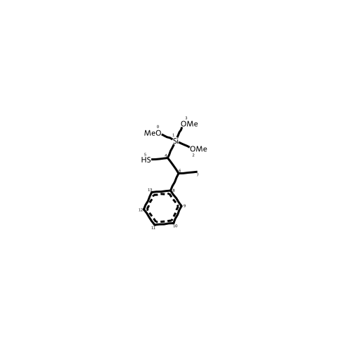 CO[Si](OC)(OC)C(S)C(C)c1ccccc1